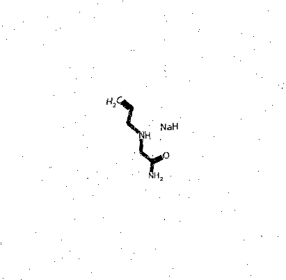 C=CCNCC(N)=O.[NaH]